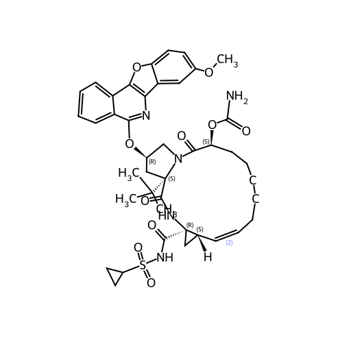 COc1ccc2oc3c4ccccc4c(O[C@H]4CN5C(=O)[C@@H](OC(N)=O)CCCCC/C=C\[C@@H]6C[C@@]6(C(=O)NS(=O)(=O)C6CC6)NC(=O)[C@@]5(C(C)(C)C)C4)nc3c2c1